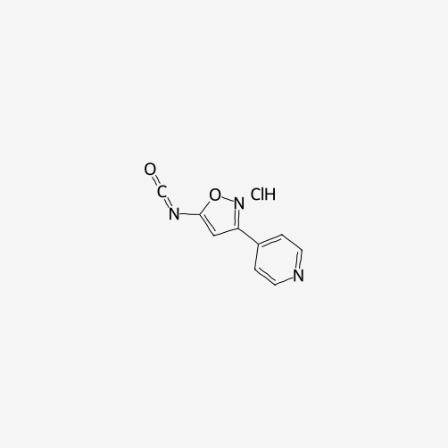 Cl.O=C=Nc1cc(-c2ccncc2)no1